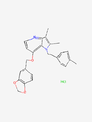 Cc1ccc(Cn2c(C)c(C)c3nccc(OCc4ccc5c(c4)OCO5)c32)cc1.Cl